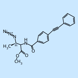 COC(=O)C(NC(=O)c1ccc(C#Cc2ccccc2)cc1)[C@@H](C)N=[N+]=[N-]